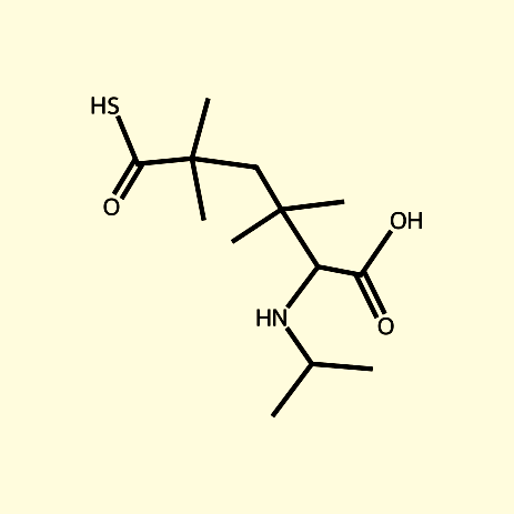 CC(C)NC(C(=O)O)C(C)(C)CC(C)(C)C(=O)S